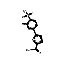 COC(=O)c1ccc(-c2ccc(S(N)(=O)=O)c(C)c2)s1